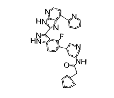 O=C(Cc1ccccc1)Nc1cncc(-c2ccc3[nH]nc(-c4nc5c(-c6ccccn6)ccnc5[nH]4)c3c2F)c1